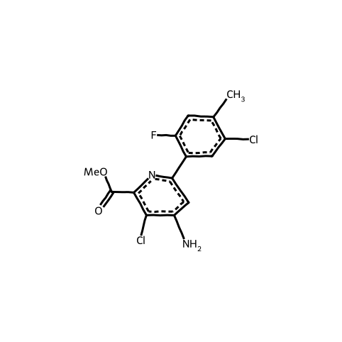 COC(=O)c1nc(-c2cc(Cl)c(C)cc2F)cc(N)c1Cl